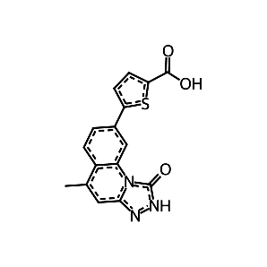 Cc1cc2n[nH]c(=O)n2c2cc(-c3ccc(C(=O)O)s3)ccc12